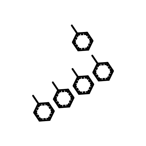 Cc1ccccc1.Cc1ccccc1.Cc1ccccc1.Cc1ccccc1.Cc1ccccc1